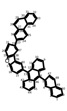 c1ccc2cc(-c3c4ccccc4c(-c4ccc5oc6ccc(-c7ccc8c(ccc9ccccc98)c7)cc6c5c4)c4ccccc34)ccc2c1